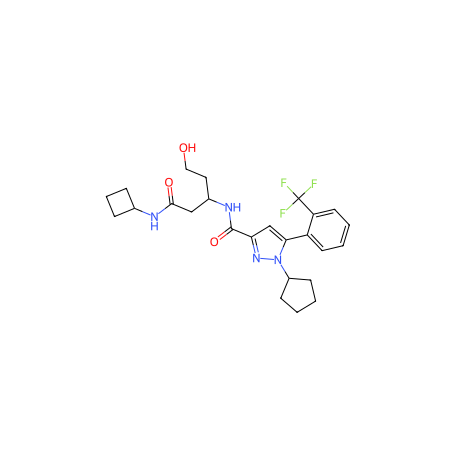 O=C(CC(CCO)NC(=O)c1cc(-c2ccccc2C(F)(F)F)n(C2CCCC2)n1)NC1CCC1